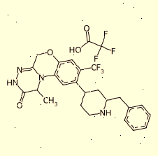 CC1C(=O)NN=C2COc3cc(C(F)(F)F)c(C4CCNC(Cc5ccccc5)C4)cc3N21.O=C(O)C(F)(F)F